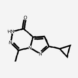 Cc1n[nH]c(=O)c2cc(C3CC3)nn12